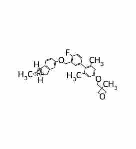 Cc1cc(OCC2(C)COC2)cc(C)c1-c1ccc(F)c(COc2ccc3c(c2)C[C@H]2[C@H](C)[C@@H]32)c1